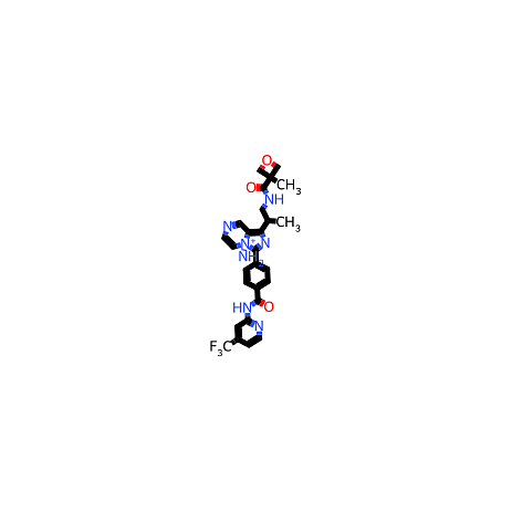 CC(CNC(=O)C1(C)COC1)C1=C2C=NC=C[N+]2(N)C(c2ccc(C(=O)Nc3cc(C(F)(F)F)ccn3)cc2)=N1